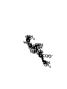 CN1NC=C(SCC2=C(C(=O)[O-])N3C(=O)[C@@H](NC(=O)C(NC(=O)Nc4cnc(Nc5ccc(S(N)(=O)=O)cc5)nc4O)c4csc(=N)[nH]4)[C@H]3SC2)S1.[Na+]